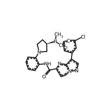 CN(C)[C@@H]1CCN(c2ccccc2NC(=O)c2ccn3ncc(-c4cccc(Cl)c4)c3n2)C1